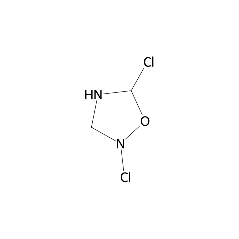 ClC1NCN(Cl)O1